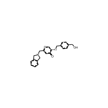 O=c1cc(CN2Cc3ccccc3C2)occ1OCc1ccc(CO)cc1